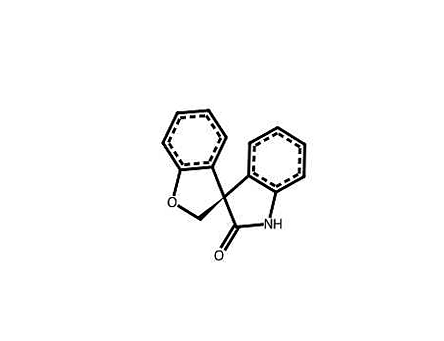 O=C1Nc2ccccc2[C@]12COc1ccccc12